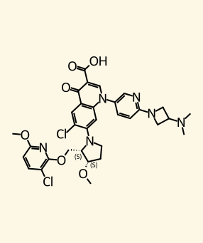 COc1ccc(Cl)c(OC[C@H]2[C@@H](OC)CCN2c2cc3c(cc2Cl)c(=O)c(C(=O)O)cn3-c2ccc(N3CC(N(C)C)C3)nc2)n1